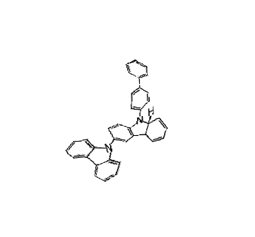 C1=CC2c3cc(-n4c5ccccc5c5ccccc54)ccc3N(c3ccc(-c4ccccc4)cc3)[C@@H]2C=C1